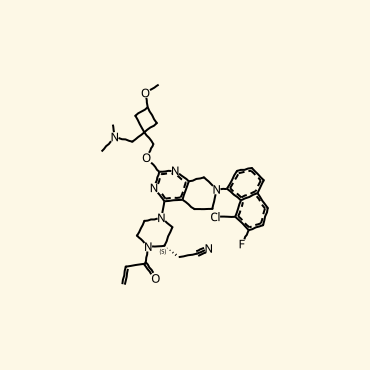 C=CC(=O)N1CCN(c2nc(OCC3(CN(C)C)CC(OC)C3)nc3c2CCN(c2cccc4ccc(F)c(Cl)c24)C3)C[C@@H]1CC#N